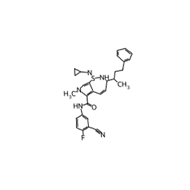 CC(CCc1ccccc1)C1C=Cc2c(cn(C)c2C(=O)Nc2ccc(F)c(C#N)c2)/S(=N\C2CC2)N1